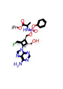 CC(C)OC(=O)C(C)NP(=O)(OC[C@@H]1/C(=C/F)[C@H](n2cnc3c(N)ncnc32)[C@H]1CO)Oc1ccccc1